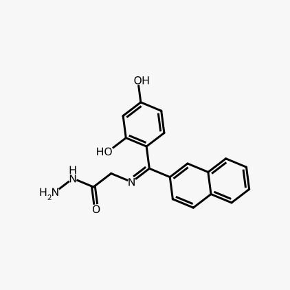 NNC(=O)CN=C(c1ccc2ccccc2c1)c1ccc(O)cc1O